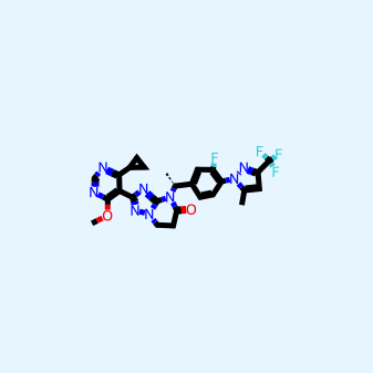 COc1ncnc(C2CC2)c1-c1nc2n(n1)CCC(=O)N2[C@H](C)c1ccc(-n2nc(C(F)(F)F)cc2C)c(F)c1